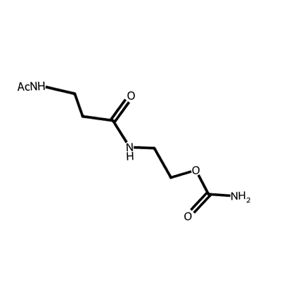 CC(=O)NCCC(=O)NCCOC(N)=O